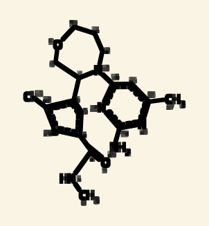 CNC(=O)c1cc(C2COCCCN2c2cc(C)nc(N)n2)c(Cl)s1